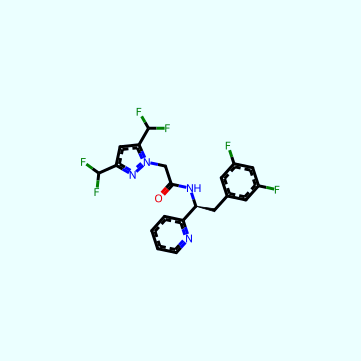 O=C(Cn1nc(C(F)F)cc1C(F)F)N[C@@H](Cc1cc(F)cc(F)c1)c1ccccn1